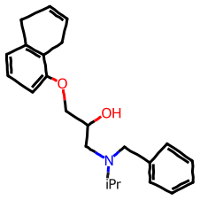 CC(C)N(Cc1ccccc1)CC(O)COc1cccc2c1CC=CC2